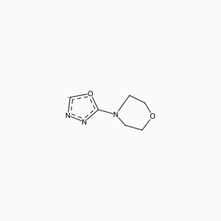 [c]1nnc(N2CCOCC2)o1